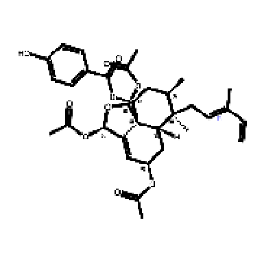 C=C/C(C)=C/C[C@]1(C)[C@H](C)C[C@H](OC(=O)c2ccc(O)cc2)[C@@]23C(=C[C@H](OC(C)=O)C[C@@H]12)[C@@H](OC(C)=O)O[C@H]3OC(C)=O